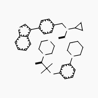 CC(C)(Oc1cccc(N2CCC[C@@H](C(=O)N(Cc3ccc(-c4c[nH]c5ccccc45)cc3)C3CC3)C2)c1)C(=O)N1CCNCC1